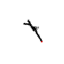 CCCCCCCCCCCCCCCCn1ccc2cc(CCCCC(CCCCC)CCCCCCC)cc(O)c2c1=O